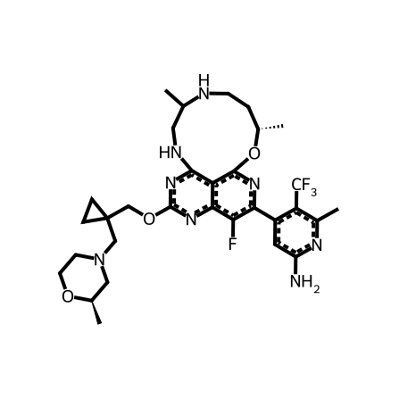 Cc1nc(N)cc(-c2nc3c4c(nc(OCC5(CN6CCO[C@H](C)C6)CC5)nc4c2F)NCC(C)NCC[C@H](C)O3)c1C(F)(F)F